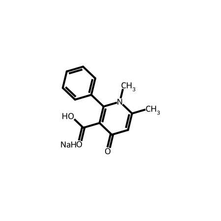 Cc1cc(=O)c(C(=O)O)c(-c2ccccc2)n1C.[NaH]